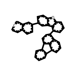 c1ccc2c(c1)-c1cccc3c(-c4cccc5oc6ccc(-c7ccc8ccccc8c7)cc6c45)ccc-2c13